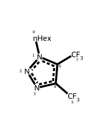 CCCCCCn1nnc(C(F)(F)F)c1C(F)(F)F